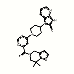 CC1(C)CN(C(=O)c2cc(N3CCC(n4c(=O)[nH]c5ncccc54)CC3)ncn2)Cc2ccsc21